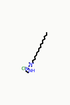 C1=NCCN1.CCCCCCCCCCCCCCCC[N+](C)(C)C.[Cl-]